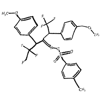 COc1ccc(C(C(=NOS(=O)(=O)c2ccc(C)cc2)C(c2ccc(OC)cc2)C(F)(F)F)C(F)(F)F)cc1